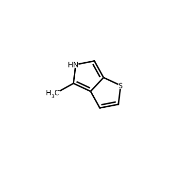 Cc1[nH]cc2sccc12